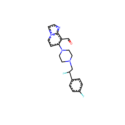 O=Cc1c(N2CCN(CC(F)c3ccc(F)cc3)CC2)ccn2ccnc12